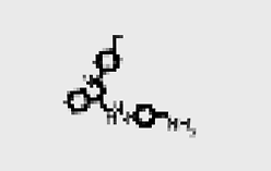 NCc1ccc(NN=Cc2cc(-c3ccc(F)cc3)nc3ccccc23)cc1